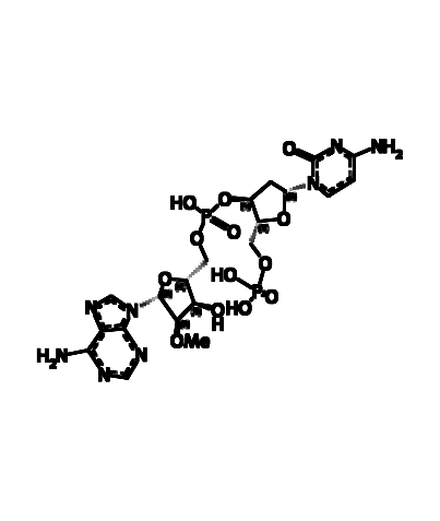 CO[C@@H]1[C@H](O)[C@@H](COP(=O)(O)O[C@H]2C[C@H](n3ccc(N)nc3=O)O[C@@H]2COP(=O)(O)O)O[C@H]1n1cnc2c(N)ncnc21